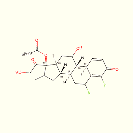 CCCCCC(=O)O[C@]1(C(=O)CO)C(C)C[C@H]2[C@@H]3CC(F)C4=C(F)C(=O)C=C[C@]4(C)[C@H]3C(O)C[C@@]21C